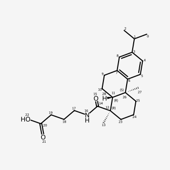 CC(C)c1ccc2c(c1)CC[C@H]1[C@](C)(C(=O)NCCCC(=O)O)CCC[C@]21C